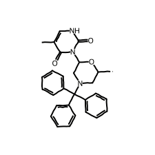 [CH2]C1CN(C(c2ccccc2)(c2ccccc2)c2ccccc2)CC(n2c(=O)[nH]cc(C)c2=O)O1